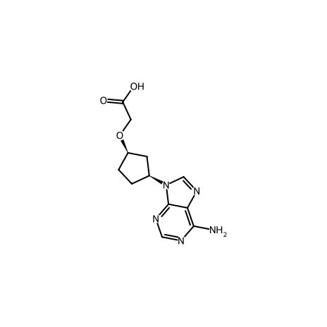 Nc1ncnc2c1ncn2[C@H]1CC[C@@H](OCC(=O)O)C1